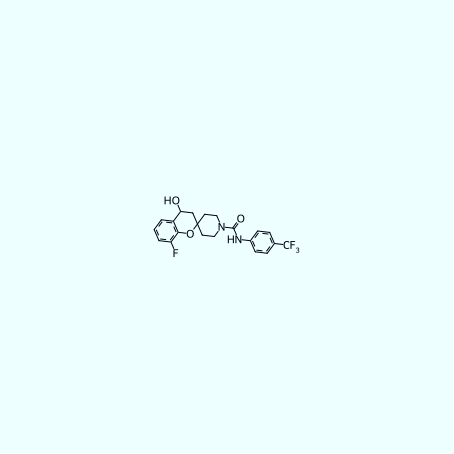 O=C(Nc1ccc(C(F)(F)F)cc1)N1CCC2(CC1)CC(O)c1cccc(F)c1O2